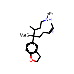 C/C=C\CCC(SC)(c1ccc2c(c1)CCO2)C(C)CCNCCC